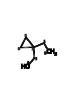 CCC1(CO)CC1